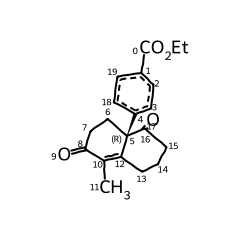 CCOC(=O)c1ccc([C@]23CCC(=O)C(C)=C2CCCC3=O)cc1